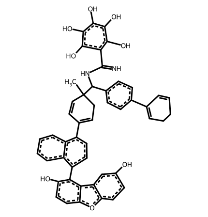 CC1(C(NC(=N)c2c(O)c(O)c(O)c(O)c2O)c2ccc(C3=CCCC=C3)cc2)C=CC(c2ccc(-c3c(O)ccc4oc5ccc(O)cc5c34)c3ccccc23)=CC1